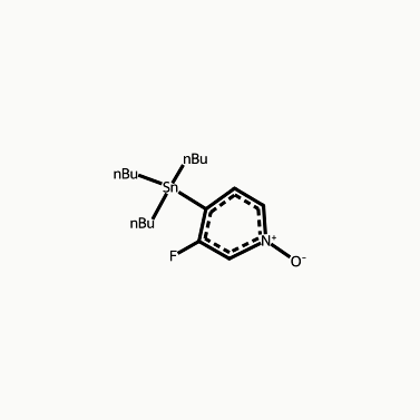 CCC[CH2][Sn]([CH2]CCC)([CH2]CCC)[c]1cc[n+]([O-])cc1F